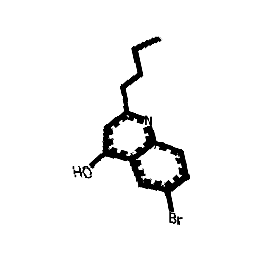 CCCCc1cc(O)c2cc(Br)ccc2n1